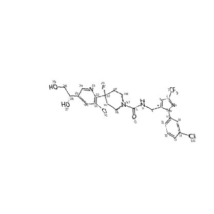 O=C(NCc1cc(C(F)(F)F)nn1-c1cccc(Cl)c1)N1CCC(F)(c2ncc([C@H](O)CO)cc2Cl)CC1